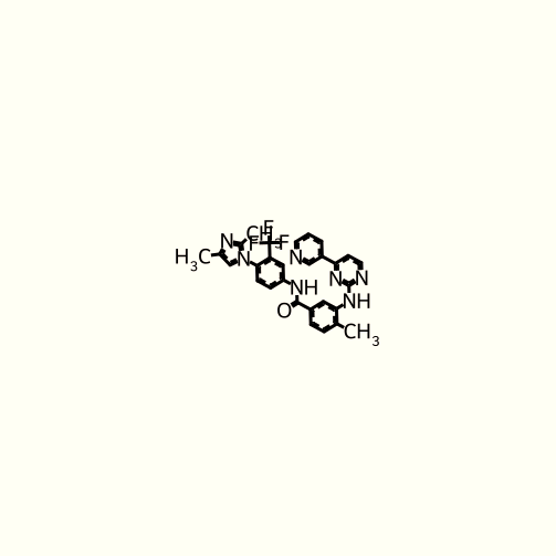 Cc1cn(-c2ccc(NC(=O)c3ccc(C)c(Nc4nccc(-c5cccnc5)n4)c3)cc2C(F)(F)F)c(C)n1